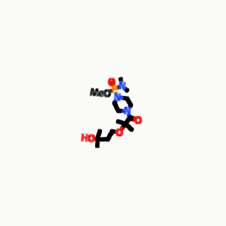 COP(=O)(N(C)C)N1CCN(C(=O)C(C)(C)OCCC(C)(C)O)CC1